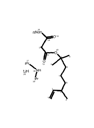 C=CC(C)CCCC(C)(C)OC(=O)CC(=O)CCCCCCCCC.CC(C)NC(C)C.[LiH]